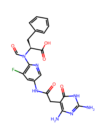 Nc1nc(N)c(CC(=O)Nc2cnc(N(C=O)[C@@H](Cc3ccccc3)C(=O)O)c(F)c2)c(=O)[nH]1